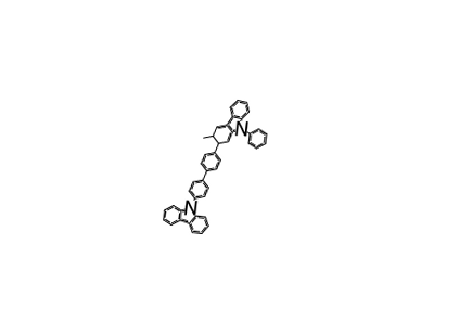 CC1C=c2c(n(-c3ccccc3)c3ccccc23)=CC1c1ccc(-c2ccc(-n3c4ccccc4c4ccccc43)cc2)cc1